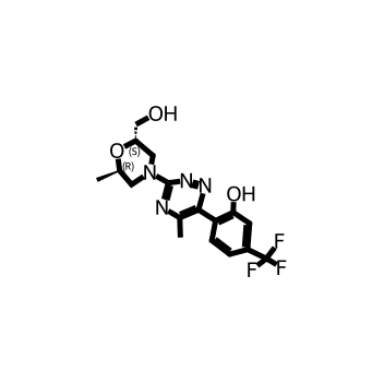 Cc1nc(N2C[C@@H](CO)O[C@H](C)C2)nnc1-c1ccc(C(F)(F)F)cc1O